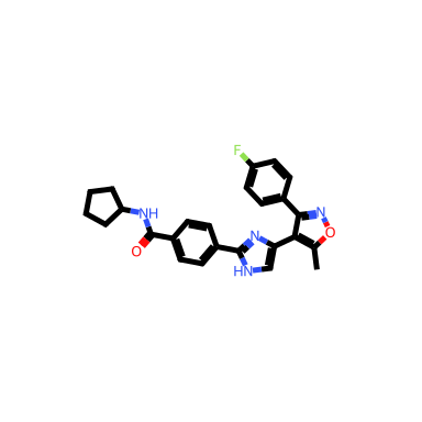 Cc1onc(-c2ccc(F)cc2)c1-c1c[nH]c(-c2ccc(C(=O)NC3CCCC3)cc2)n1